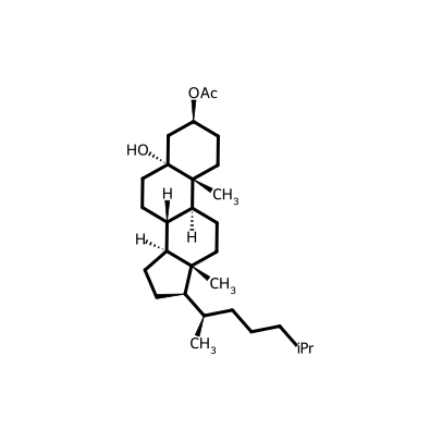 CC(=O)O[C@H]1CC[C@]2(C)[C@H]3CC[C@]4(C)[C@@H]([C@H](C)CCCC(C)C)CC[C@H]4[C@@H]3CC[C@@]2(O)C1